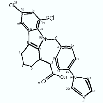 O=C(O)CC1CCCc2c1n(Cc1ccc(-n3ccnc3)cc1)c1c(Cl)cc(Cl)cc21